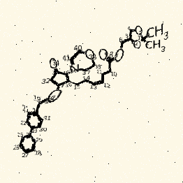 CC1(C)OCC(COC(=O)CC/C=C\CC[C@H]2[C@@H](OCc3ccc(-c4ccccc4)cc3)CC(=O)[C@@H]2N2CCOCC2)O1